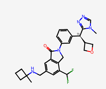 Cn1cnnc1[C@H](c1cccc(N2Cc3c(cc(CNC4(C)CCC4)cc3C(F)F)C2=O)c1)C1COC1